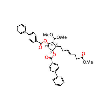 COC(=O)CCC=CCC[C@@H]1[C@@H](C(OC)OC)[C@H](OC(=O)c2ccc(-c3ccccc3)cc2)C[C@@H]1OC(=O)c1ccc(-c2ccccc2)cc1